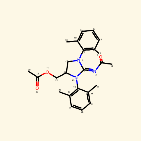 CC(=O)N=C1N(c2c(C)cccc2C)CC(COC(C)=O)N1c1c(C)cccc1C